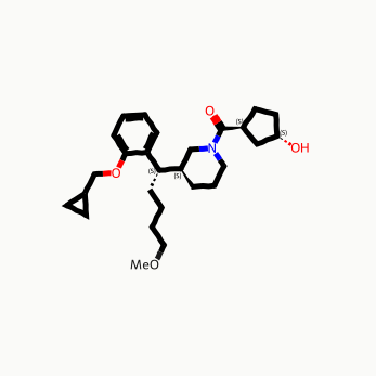 COCCCC[C@H](c1ccccc1OCC1CC1)[C@@H]1CCCN(C(=O)[C@H]2CC[C@H](O)C2)C1